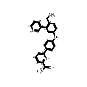 NCc1ccc(Oc2ccc(-c3cccc(C(N)=O)n3)cc2)cc1-c1cccnc1